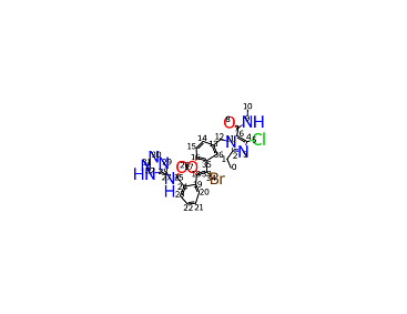 CCc1nc(Cl)c(C(=O)NC)n1Cc1ccc2oc(-c3ccccc3C(=O)Nc3nnn[nH]3)c(Br)c2c1